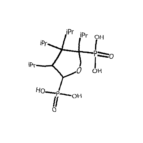 CC(C)C1C(P(=O)(O)O)OC(C(C)C)(P(=O)(O)O)C1(C(C)C)C(C)C